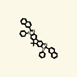 CC1(C)c2cc3c(cc2-c2cc4nc(-c5ccc6ccccc6c5)n(C5C=CC=CC5)c4cc21)nc(-c1ccc2ccccc2c1)n3-c1ccccc1